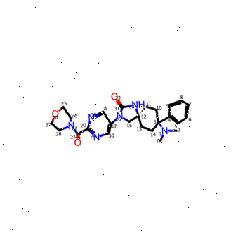 CN(C)[C@]1(c2ccccc2)CC[C@]2(CC1)CN(c1cnc(C(=O)N3CCOCC3)nc1)C(=O)N2